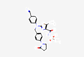 Cc1sc(N(Cc2ccc(N3CCCC3=O)cc2)C2=CCC(C#N)C=C2)nc1C(=O)NS(C)(=O)=O